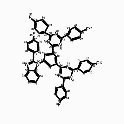 Fc1ccc(-c2nc(-c3ccc(F)cc3)nc(-c3cc(-c4nc(-c5ccc(F)cc5)nc(-c5ccc(F)cc5)n4)cc(-n4c(-c5ccc(F)cc5)nc5ccccc54)c3)n2)cc1